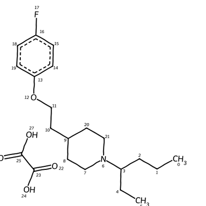 CCCC(CC)N1CCC(CCOc2ccc(F)cc2)CC1.O=C(O)C(=O)O